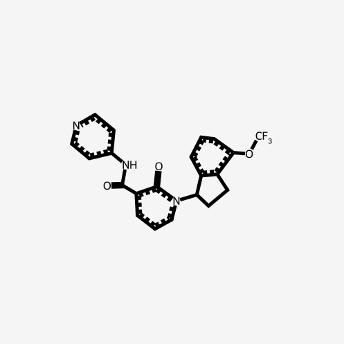 O=C(Nc1ccncc1)c1cccn(C2CCc3c(OC(F)(F)F)cccc32)c1=O